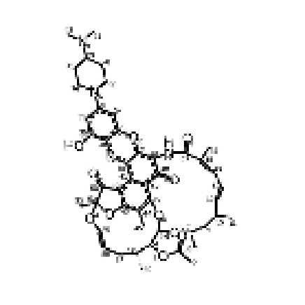 CC(=O)OC1C2C[C@H](C)CC(C)/C=C/C=C(/C)C(=O)Nc3c4oc5cc(N6CCC(N(C)C)CC6)cc(O)c5nc-4c4c5c(c(C)c(c4c3=O)O2)O[C@](C)(O/C=C/C[C@H]1C)C5=O